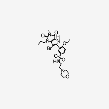 CCCn1c(=O)n(C)c(=O)c2[nH]c(-c3cc(S(=O)(=O)NCCN4CCOCC4)ccc3OCC)c(Br)c21